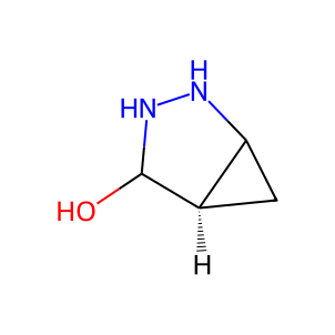 OC1NNC2C[C@@H]12